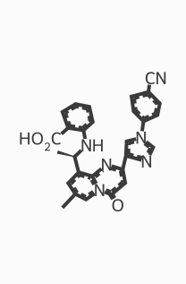 Cc1cc([C@@H](C)Nc2ccccc2C(=O)O)c2nc(-c3cn(-c4ccc(C#N)cc4)cn3)cc(=O)n2c1